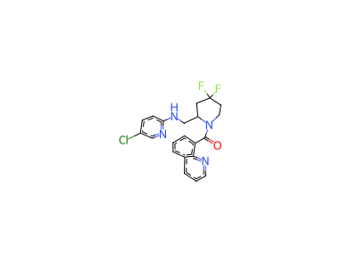 O=C(c1cccc2cccnc12)N1CCC(F)(F)CC1CNc1ccc(Cl)cn1